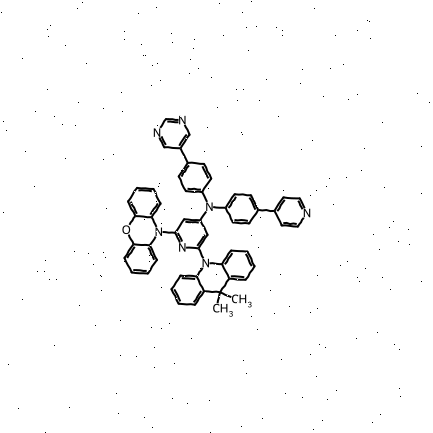 CC1(C)c2ccccc2N(c2cc(N(c3ccc(-c4ccncc4)cc3)c3ccc(-c4cncnc4)cc3)cc(N3c4ccccc4Oc4ccccc43)n2)c2ccccc21